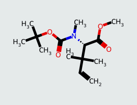 C=CC(C)(C)[C@@H](C(=O)OC)N(C)C(=O)OC(C)(C)C